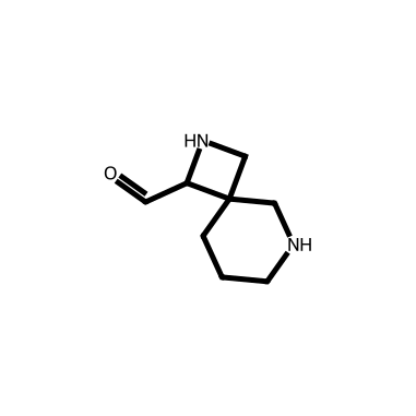 O=CC1NCC12CCCNC2